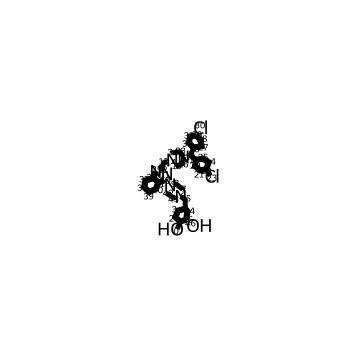 Oc1ccc(CN2CCN(c3nc(CN4CCN(C(c5ccc(Cl)cc5)c5ccc(Cl)cc5)CC4)nc4ccccc34)CC2)cc1O